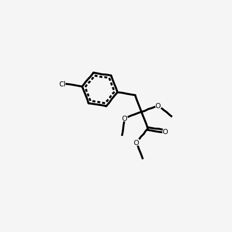 COC(=O)C(Cc1ccc(Cl)cc1)(OC)OC